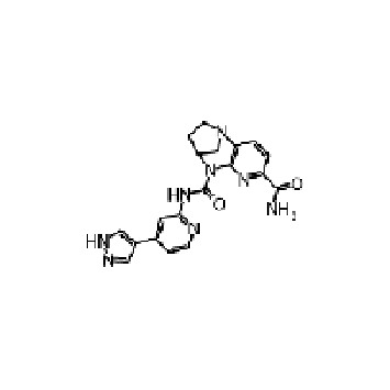 NC(=O)c1ccc2c(n1)N(C(=O)Nc1cc(-c3cn[nH]c3)ccn1)C1CCN2C1